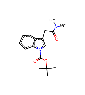 CC(C)(C)OC(=O)n1cc(CC(=O)N([13CH3])[13CH3])c2ccccc21